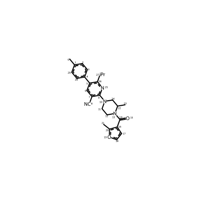 Cc1ccc(-c2cc(C#N)c(N3CCN(C(=O)c4ccoc4C)C(C)C3)nc2C(C)C)cc1